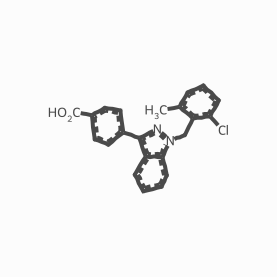 Cc1cccc(Cl)c1Cn1nc(-c2ccc(C(=O)O)cc2)c2ccccc21